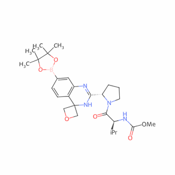 COC(=O)N[C@H](C(=O)N1CCC[C@H]1C1=Nc2cc(B3OC(C)(C)C(C)(C)O3)ccc2C2(COC2)N1)C(C)C